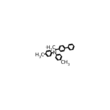 [CH2]C(c1ccc(-c2ccccc2)cc1)N(c1ccc(C)cc1)c1ccc(C)cc1